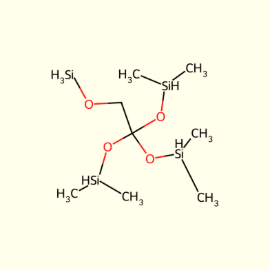 C[SiH](C)OC(CO[SiH3])(O[SiH](C)C)O[SiH](C)C